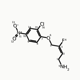 NC/C=C(/F)COc1ccc([N+](=O)[O-])cc1Cl